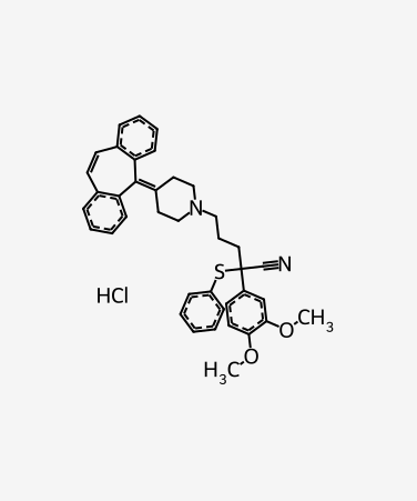 COc1ccc(C(C#N)(CCCN2CCC(=C3c4ccccc4C=Cc4ccccc43)CC2)Sc2ccccc2)cc1OC.Cl